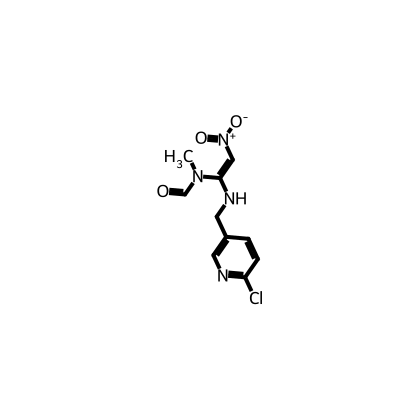 CN(C=O)C(=C[N+](=O)[O-])NCc1ccc(Cl)nc1